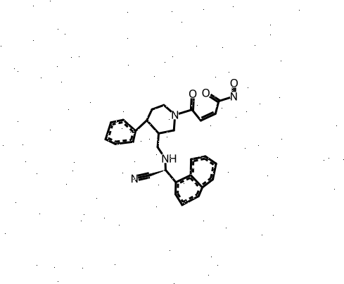 N#C[C@@H](NCC1CN(C(=O)/C=C\C(=O)N=O)CCC1c1ccccc1)c1cccc2ccccc12